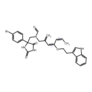 C=C(/C=C(\C=C/C)OCCc1c[nH]c2ccccc12)CN(C=O)CC1(c2ccc(Br)cc2)NC(=O)NC1=O